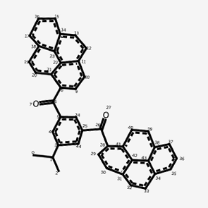 CC(C)c1cc(C(=O)c2ccc3ccc4cccc5ccc2c3c45)cc(C(=O)c2ccc3ccc4cccc5ccc2c3c45)c1